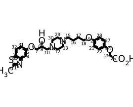 Cc1nc2cc(OC[C@H](O)CN3CCN(CCCCOc4ccc(OCC(=O)O)cc4)CC3)ccc2s1